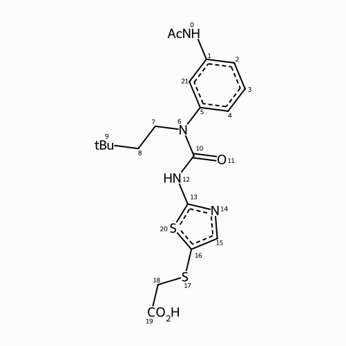 CC(=O)Nc1cccc(N(CCC(C)(C)C)C(=O)Nc2ncc(SCC(=O)O)s2)c1